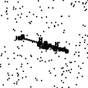 O=[C]COCCOCCNC(=O)COCCOCCN(C(=O)O)C(=O)CCCNC(=O)CCCCCCCCCCCCCCC(=O)O